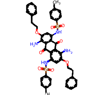 Cc1ccc(S(=O)(=O)Nc2cc(OCCc3ccccc3)c(N)c3c2C(=O)c2c(N)c(OCCc4ccccc4)cc(NS(=O)(=O)c4ccc(C)cc4)c2C3=O)cc1